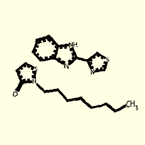 CCCCCCCCn1sccc1=O.c1ccc2[nH]c(-c3cscn3)nc2c1